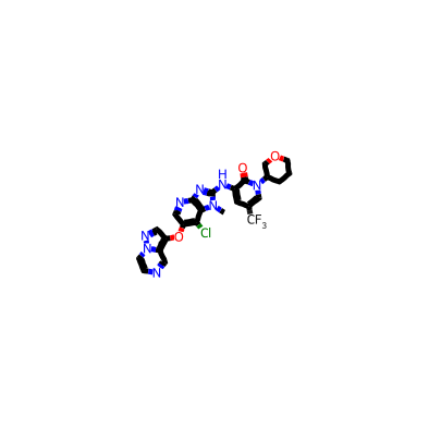 Cn1c(Nc2cc(C(F)(F)F)cn(C3CCCOC3)c2=O)nc2ncc(Oc3cnn4ccncc34)c(Cl)c21